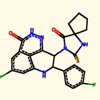 O=C1N(C2c3n[nH]c(=O)c4cc(F)cc(c34)NC2c2ccc(F)cc2)C(=S)NC12CCCC2